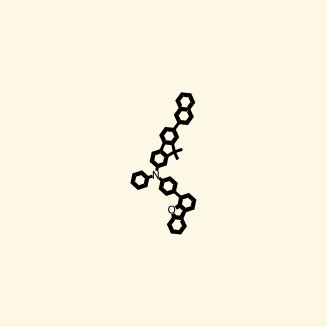 CC1(C)c2cc(-c3ccc4ccccc4c3)ccc2-c2ccc(N(c3ccccc3)c3ccc(-c4cccc5c4oc4ccccc45)cc3)cc21